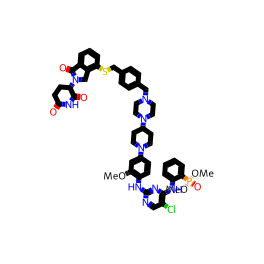 COc1cc(N2CCC(N3CCN(Cc4ccc(CSc5cccc6c5CN(C5CCC(=O)NC5=O)C6=O)cc4)CC3)CC2)ccc1Nc1ncc(Cl)c(Nc2ccccc2P(=O)(OC)OC)n1